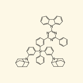 c1ccc(-c2nc(-c3cccc([Si](c4ccccc4)(c4cccc(N5C6CC7CC(C6)CC5C7)c4)c4cccc(N5C6CC7CC(C6)CC5C7)c4)c3)nc(-n3c4ccccc4c4ccccc43)n2)cc1